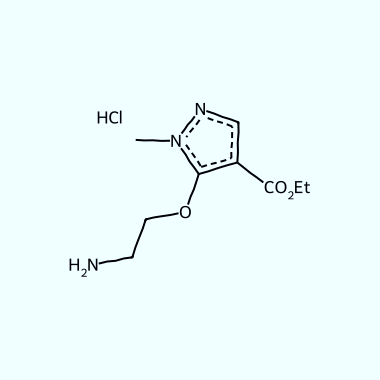 CCOC(=O)c1cnn(C)c1OCCN.Cl